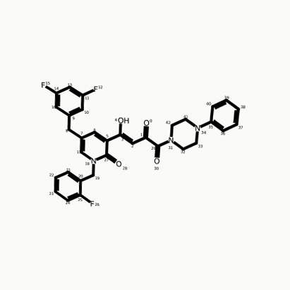 O=C(C=C(O)c1cc(Cc2cc(F)cc(F)c2)cn(Cc2ccccc2F)c1=O)C(=O)N1CCN(c2ccccc2)CC1